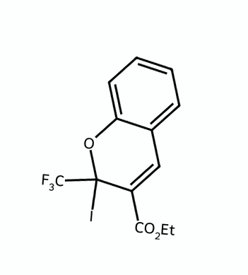 CCOC(=O)C1=Cc2ccccc2OC1(I)C(F)(F)F